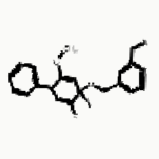 COC1=CC(F)(OCc2cccc(CBr)c2)C(F)=CC1c1ccccc1